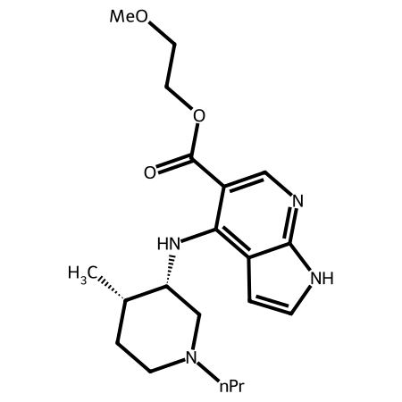 CCCN1CC[C@H](C)[C@H](Nc2c(C(=O)OCCOC)cnc3[nH]ccc23)C1